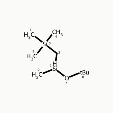 C[SiH](C[Si](C)(C)C)OC(C)(C)C